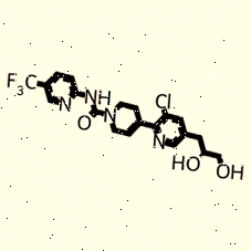 O=C(Nc1ccc(C(F)(F)F)cn1)N1CC=C(c2ncc(C[C@H](O)CO)cc2Cl)CC1